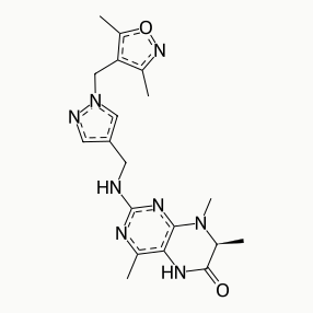 Cc1noc(C)c1Cn1cc(CNc2nc(C)c3c(n2)N(C)[C@@H](C)C(=O)N3)cn1